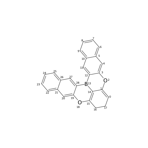 C1=C2Oc3cc4ccccc4cc3B3C2=C(CC1)Oc1cc2ccccc2cc13